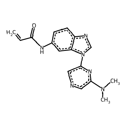 C=CC(=O)Nc1ccc2ncn(-c3cncc(N(C)C)n3)c2c1